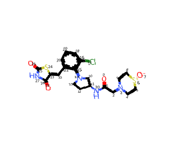 O=C(CN1CC[S+]([O-])CC1)N[C@H]1CCN(c2c(Cl)cccc2/C=C2\SC(=O)NC2=O)C1